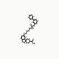 COC(=O)C1CCC2(CCc3ccc(OCCCCNC(=O)Cc4cccc(-c5cncnc5)c4)cc32)CC1